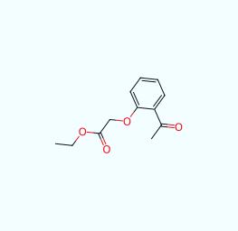 CCOC(=O)COc1ccccc1C(C)=O